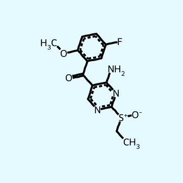 CC[S+]([O-])c1ncc(C(=O)c2cc(F)ccc2OC)c(N)n1